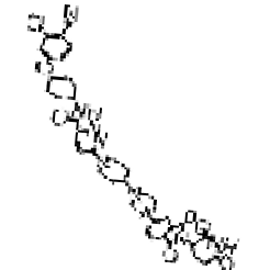 N#Cc1ccc(OC2CCC(NC(=O)c3ccc(N4CCC(N5CCN(c6ccc7c(c6)C(=O)N(C6CCC(=O)NC6=O)C7=O)CC5)CC4)nn3)CC2)cc1Cl